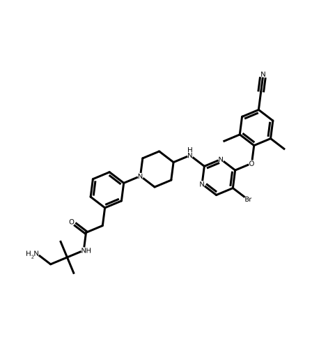 Cc1cc(C#N)cc(C)c1Oc1nc(NC2CCN(c3cccc(CC(=O)NC(C)(C)CN)c3)CC2)ncc1Br